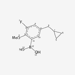 COc1c(F)cc(CC2CC2)cc1B(O)O